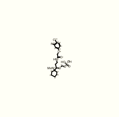 CNC1(C(CCNC(=O)COc2ccc(Cl)c(F)c2)OCOP(=O)(O)O)CCCCC1